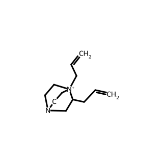 C=CCC1CN2CC[N+]1(CC=C)CC2